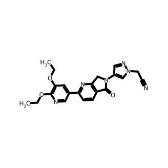 CCOc1cc(-c2ccc3c(n2)CN(c2cnn(CC#N)c2)C3=O)cnc1OCC